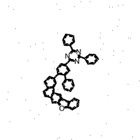 c1ccc(-c2nc(-c3ccccc3)nc(-c3ccc(-c4ccc5ccc6cc7oc8ccccc8c7cc6c5c4)c(-c4ccccc4)c3)n2)cc1